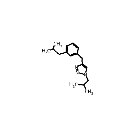 CC(C)Cc1cccc(Cc2cn(CC(C)C)nn2)c1